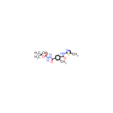 Cc1cnc(NC(=O)c2ccc(C(=O)NNC(=O)OC(C)(C)C)cc2C)s1